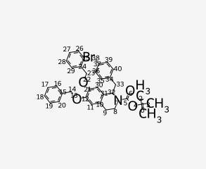 CC(C)(C)OC(=O)N1CCc2cc(OCc3ccccc3)c(OCc3ccccc3)cc2C1Cc1ccc(Br)cc1